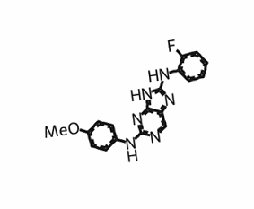 COc1ccc(Nc2ncc3nc(Nc4ccccc4F)[nH]c3n2)cc1